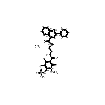 Cc1c(C)c(C(=O)NCCNC(=O)c2cc(-c3ccccn3)nc3ccccc23)c(C)c([N+](=O)[O-])c1OS(=O)(=O)C(F)(F)F.N